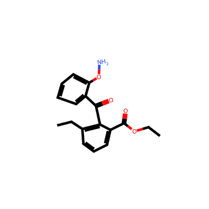 CCOC(=O)c1cccc(CC)c1C(=O)c1ccccc1ON